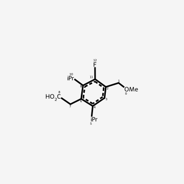 COCc1cc(C(C)C)c(CC(=O)O)c(C(C)C)c1F